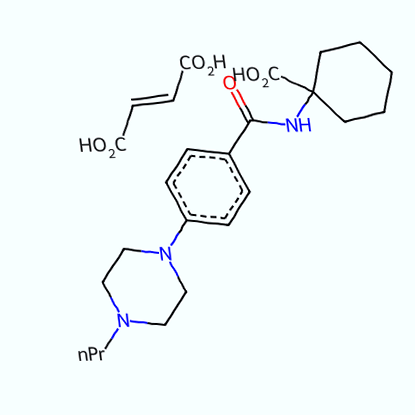 CCCN1CCN(c2ccc(C(=O)NC3(C(=O)O)CCCCC3)cc2)CC1.O=C(O)C=CC(=O)O